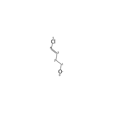 [O]CCC=CCl